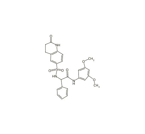 COc1cc(NC(=O)C(NS(=O)(=O)c2ccc3c(c2)CCC(=O)N3)c2ccccc2)cc(OC)c1